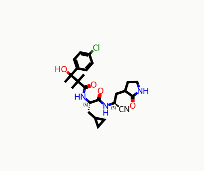 CC(C)(C(=O)N[C@@H](CC1CC1)C(=O)N[C@H](C#N)CC1CCNC1=O)C(C)(O)c1ccc(Cl)cc1